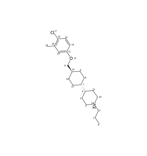 CCC[SiH]1CCC([C@H]2CC[C@H](COc3ccc(Cl)c(C)c3)CC2)CC1